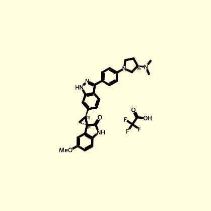 COc1ccc2c(c1)[C@]1(C[C@H]1c1ccc3c(-c4ccc(N5CC[C@@H](N(C)C)C5)cc4)n[nH]c3c1)C(=O)N2.O=C(O)C(F)(F)F